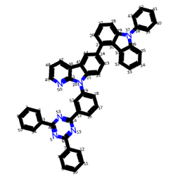 c1ccc(-c2nc(-c3ccccc3)nc(-c3cccc(-n4c5ccc(-c6cccc7c6c6ccccc6n7-c6ccccc6)cc5c5cccnc54)c3)n2)cc1